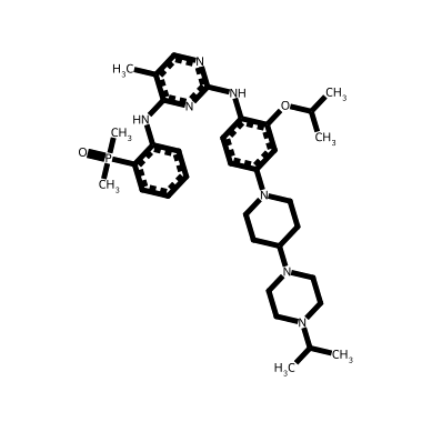 Cc1cnc(Nc2ccc(N3CCC(N4CCN(C(C)C)CC4)CC3)cc2OC(C)C)nc1Nc1ccccc1P(C)(C)=O